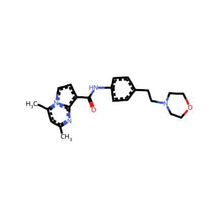 Cc1cc(C)n2ccc(C(=O)Nc3ccc(CCN4CCOCC4)cc3)c2n1